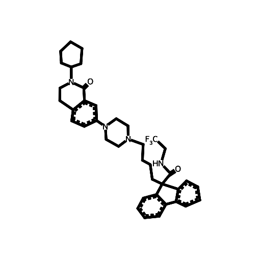 O=C1c2cc(N3CCN(CCCCC4(C(=O)NCC(F)(F)F)c5ccccc5-c5ccccc54)CC3)ccc2CCN1C1CCCCC1